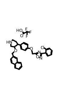 Clc1ccccc1-c1noc(COc2ccc(C3CCNCC3OCc3ccc4ccccc4c3)cc2)n1.O=C(O)C(F)(F)F